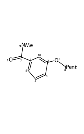 CCCC(C)Oc1cccc(C(=O)NC)c1